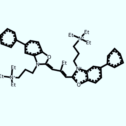 CCC(/C=C1\Oc2ccc(-c3ccccc3)cc2N1CCC[N+](CC)(CC)CC)=C\c1oc2ccc(-c3ccccc3)cc2[n+]1CCC[N+](CC)(CC)CC